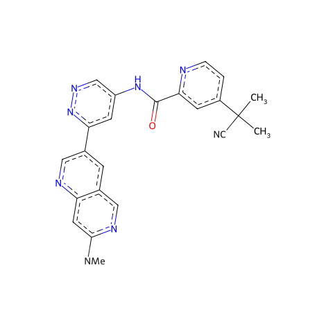 CNc1cc2ncc(-c3cc(NC(=O)c4cc(C(C)(C)C#N)ccn4)cnn3)cc2cn1